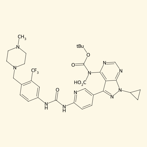 CN1CCN(Cc2ccc(NC(=O)Nc3ccc(-c4nn(C5CC5)c5ncnc(N(C(=O)O)C(=O)OC(C)(C)C)c45)cn3)cc2C(F)(F)F)CC1